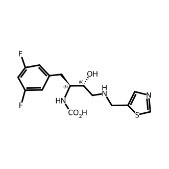 O=C(O)N[C@@H](Cc1cc(F)cc(F)c1)[C@H](O)CNCc1cncs1